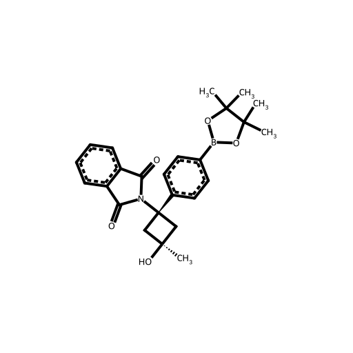 CC1(C)OB(c2ccc([C@]3(N4C(=O)c5ccccc5C4=O)C[C@](C)(O)C3)cc2)OC1(C)C